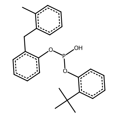 Cc1ccccc1Cc1ccccc1OP(O)Oc1ccccc1C(C)(C)C